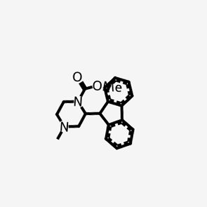 COC(=O)N1CCN(C)CC1C1c2ccccc2-c2ccccc21